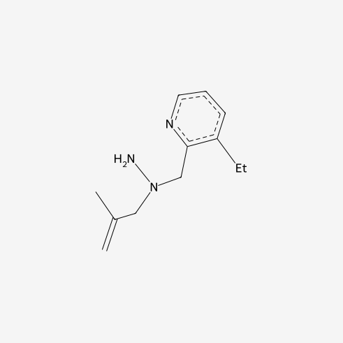 C=C(C)CN(N)Cc1ncccc1CC